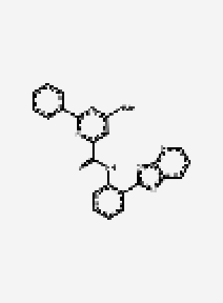 CNc1cc(C(=O)Nc2ccccc2-c2nc3cccnc3s2)nc(-c2ccccc2)n1